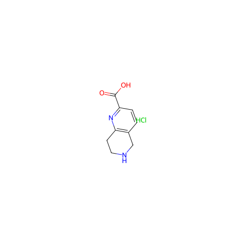 Cl.O=C(O)c1ccc2c(n1)CCNC2